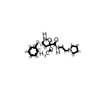 CO[C@]1(C(=O)NCCN2CCCC2)C[C@H](Cc2ccccc2)NO1